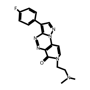 CN(C)CCn1ccc2c(nnc3c(-c4ccc(F)cc4)cnn32)c1=O